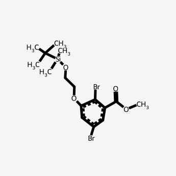 COC(=O)c1cc(Br)cc(OCCO[Si](C)(C)C(C)(C)C)c1Br